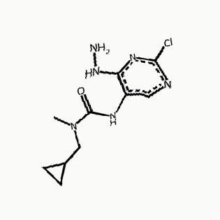 CN(CC1CC1)C(=O)Nc1cnc(Cl)nc1NN